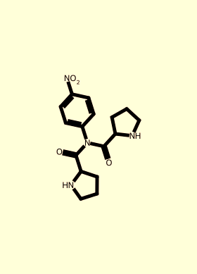 O=C(C1CCCN1)N(C(=O)C1CCCN1)c1ccc([N+](=O)[O-])cc1